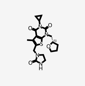 Cc1c(CN2CCNC2=O)sc2c1c(=O)n(C1CC1)c(=O)n2C[C@@H]1CCCO1